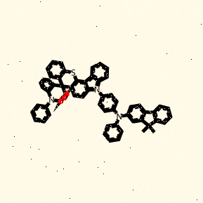 CC1(C)c2ccccc2-c2ccc(N(c3ccccc3)c3ccc(-n4c5ccccc5c5c6c(ccc54)C4(c5ccccc5S6)c5ccccc5N(c5ccccc5)c5ccccc54)cc3)cc21